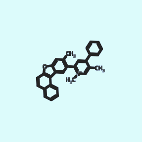 Cc1c[n+](C)c(-c2cc3c(cc2C)oc2ccc4ccccc4c23)cc1-c1ccccc1